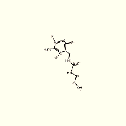 Cc1c(F)cc(F)c(CNC(=S)NCCO)c1F